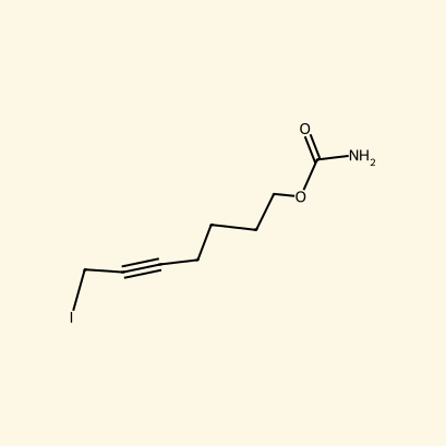 NC(=O)OCCCCC#CCI